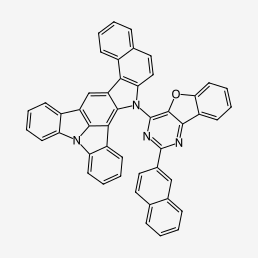 c1ccc2cc(-c3nc(-n4c5ccc6ccccc6c5c5cc6c7ccccc7n7c8ccccc8c(c54)c67)c4oc5ccccc5c4n3)ccc2c1